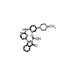 CN1CCN(c2ccc(Nc3nccc(-n4c5ccccc5c(=O)n4C(=O)O)n3)nc2)CC1